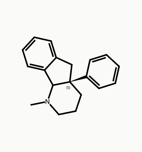 CN1CCC[C@@]2(c3ccccc3)Cc3ccccc3C12